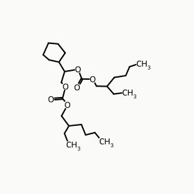 CCCCC(CC)COC(=O)OCC(OC(=O)OCC(CC)CCCC)C1CCCCC1